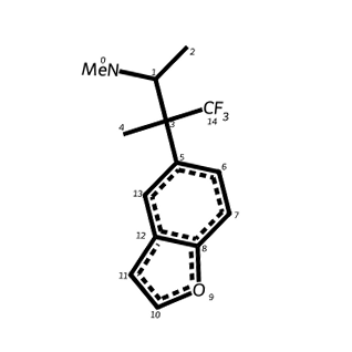 CNC(C)C(C)(c1ccc2occc2c1)C(F)(F)F